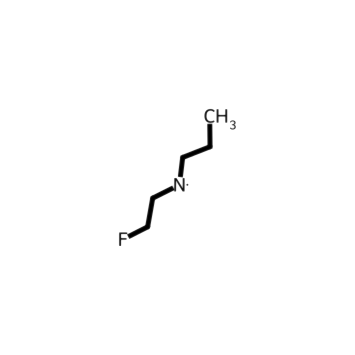 CCC[N]CCF